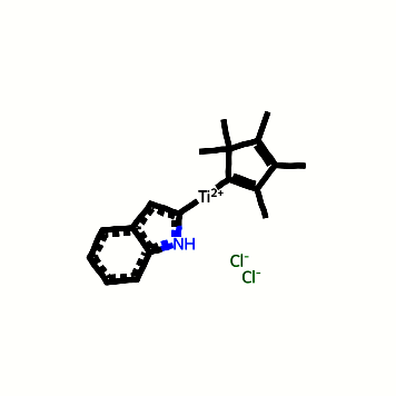 CC1=C(C)C(C)(C)[C]([Ti+2][c]2cc3ccccc3[nH]2)=C1C.[Cl-].[Cl-]